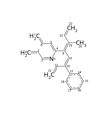 C=C\C=N/C(=C\C=C)C(/C=C(\C=C)c1ccccc1)=C(/C)C=C